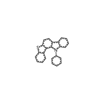 c1ccc(-n2c3ccccc3c3ccc4sc5ccccc5c4c32)cc1